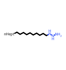 CCCCCCCCCCCCCCCCCNNN